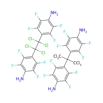 Nc1c(F)c(F)c(C(Cl)(Cl)C(Cl)(Cl)c2c(F)c(F)c(N)c(F)c2F)c(F)c1F.Nc1c(F)c(F)c(C(c2c(F)c(F)c(N)c(F)c2F)(C(Cl)(Cl)Cl)C(Cl)(Cl)Cl)c(F)c1F